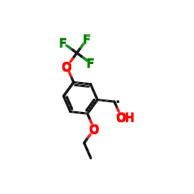 CCOc1ccc(OC(F)(F)F)cc1[CH]O